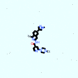 [2H]c1nc(NC(=O)c2ccnc(N3CCN(CC)CC3)c2)cc2cc(-c3cnn(C)c3)ccc12